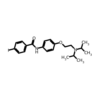 CC(C)N(CCOc1ccc(NC(=O)c2ccc(I)cc2)cc1)C(C)C